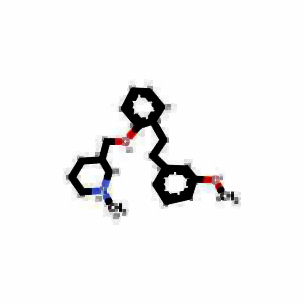 COc1cccc(CCc2ccccc2OCC2CCCN(C)C2)c1